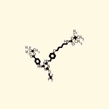 CC(C)(C)OC(=O)NCCCCCOc1ccc(CNc2nc(Nc3ccc(C(=O)OC(C)(C)C)cc3)nc(OCC(F)(F)F)n2)cc1